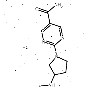 CNC1CCN(c2ncc(C(N)=O)cn2)C1.Cl